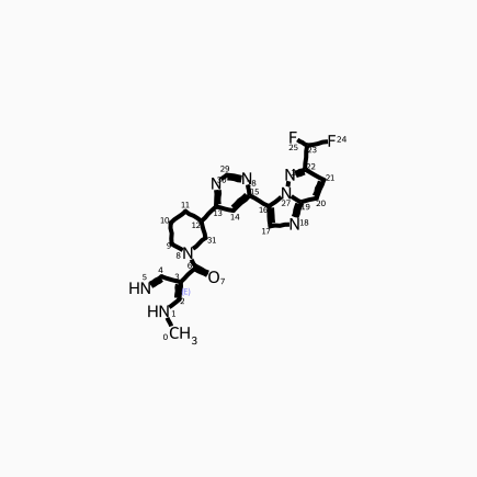 CN/C=C(\C=N)C(=O)N1CCCC(c2cc(-c3cnc4ccc(C(F)F)nn34)ncn2)C1